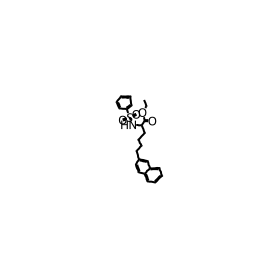 CCOC(=O)C(CCCCc1ccc2ccccc2c1)NS(=O)(=O)c1ccccc1